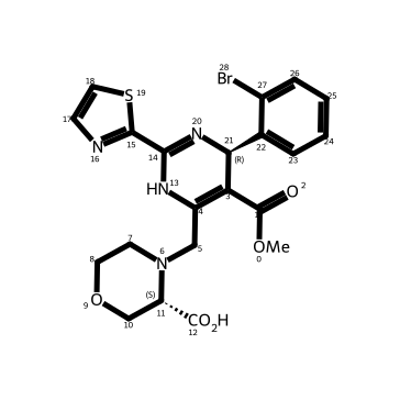 COC(=O)C1=C(CN2CCOC[C@H]2C(=O)O)NC(c2nccs2)=N[C@H]1c1ccccc1Br